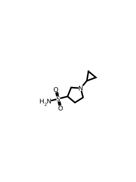 NS(=O)(=O)C1CCN(C2CC2)C1